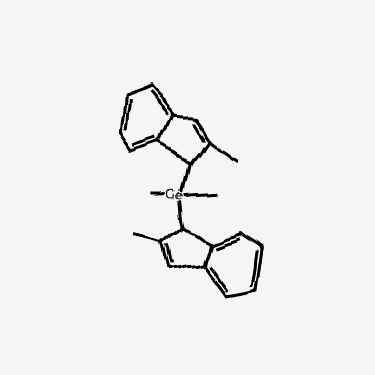 CC1=Cc2ccccc2[CH]1[Ge]([CH3])([CH3])[CH]1C(C)=Cc2ccccc21